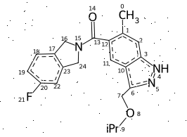 Cc1cc2[nH]nc(COC(C)C)c2cc1C(=O)N1Cc2ccc(F)cc2C1